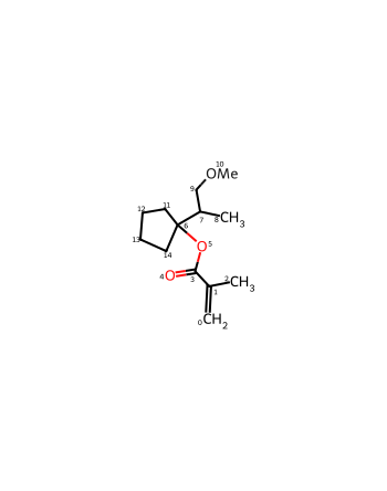 C=C(C)C(=O)OC1(C(C)COC)CCCC1